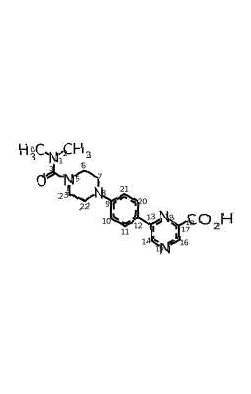 CN(C)C(=O)N1CCN(c2ccc(-c3cncc(C(=O)O)n3)cc2)CC1